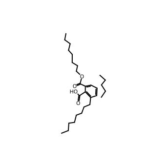 CCCCC.CCCCCCCCOC(=O)c1cccc(CCCCCCCC)c1C(=O)O